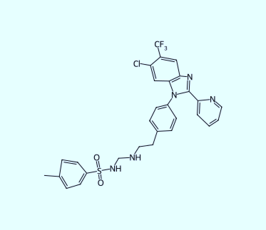 Cc1ccc(S(=O)(=O)NCNCCc2ccc(-n3c(-c4ccccn4)nc4cc(C(F)(F)F)c(Cl)cc43)cc2)cc1